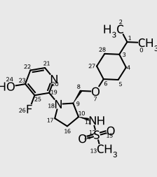 CC(C)C1CCC(OC[C@H]2[C@@H](NS(C)(=O)=O)CCN2c2nccc(O)c2F)CC1